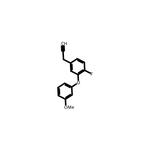 C#CCc1ccc(F)c(Oc2cccc(OC)c2)c1